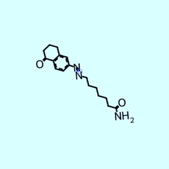 NC(=O)CCCCCC/N=N/c1ccc2c(c1)CCCC2=O